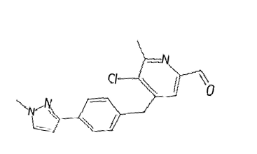 Cc1nc(C=O)cc(Cc2ccc(-c3ccn(C)n3)cc2)c1Cl